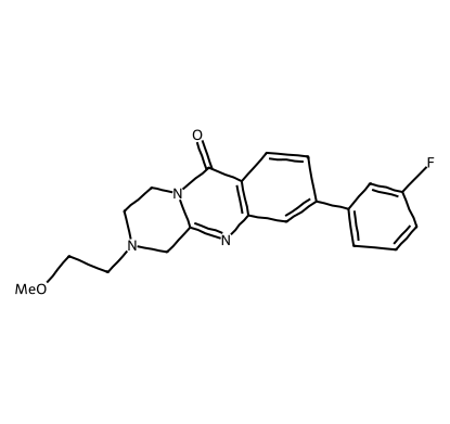 COCCN1CCn2c(nc3cc(-c4cccc(F)c4)ccc3c2=O)C1